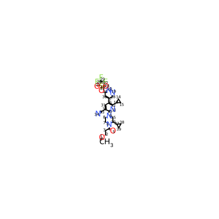 COCCC(=O)N1CCN(c2nc(C3CC3)c(-c3cnnc(OS(=O)(=O)C(F)(F)F)c3)cc2C#N)CC1C1CC1